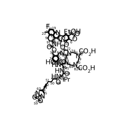 CC[C@@]1(O)C(=O)OCc2c1cc1n(c2=O)Cc2c-1nc1cc(F)c(C)c3c1c2[C@@H](NC(=O)OCc1ccc(NC(=O)[C@H](C)NC(=O)[C@@H](NC(=O)CCCC#Cc2cnc(S(C)(=O)=O)nc2)C(C)C)cc1CN(C)C(=O)CN1CCN(CC(=O)O)CCN(CC(=O)O)CCN(CC(=O)O)CC1)CC3